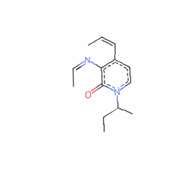 C/C=C\c1ccn(C(C)CC)c(=O)c1/N=C\C